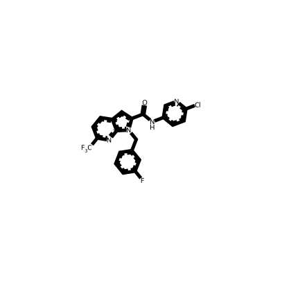 O=C(Nc1ccc(Cl)nc1)c1cc2ccc(C(F)(F)F)nc2n1Cc1cccc(F)c1